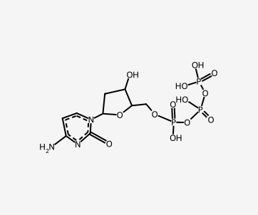 Nc1ccn(C2CC(O)C(COP(=O)(O)OP(=O)(O)OP(=O)(O)O)O2)c(=O)n1